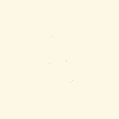 COc1nc(NC2CCOC[C@@H]2F)nc2[nH]cc(-c3ccn4nccc4c3)c12